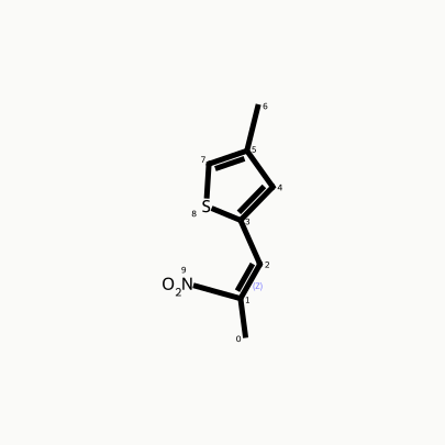 C/C(=C/c1cc(C)cs1)[N+](=O)[O-]